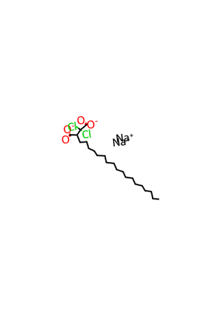 CCCCCCCCCCCCCCCCCCC(C(=O)[O-])C(Cl)(Cl)C(=O)[O-].[Na+].[Na+]